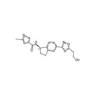 Cn1cc(C(=O)N[C@@H]2CCc3cc(-c4noc(CCO)n4)ccc32)cn1